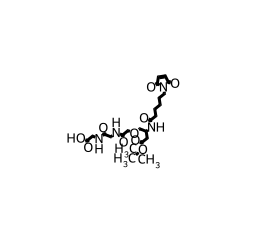 CC(C)(C)OC(=O)CC(COCC(=O)NCC(=O)NCC(=O)O)NC(=O)CCCCCN1C(=O)C=CC1=O